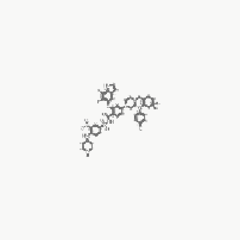 CN1CCC(Nc2ccc(S(=O)(=O)NC(=O)c3ccc(N4CCN(CC5=C(Oc6ccc(Cl)cc6)CC(C)(C)CC5)CC4)cc3Oc3cc4cc[nH]c4c(F)c3F)cc2[N+](=O)[O-])CC1